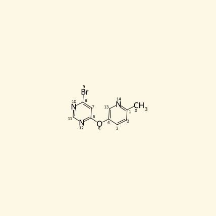 Cc1ccc(Oc2cc(Br)ncn2)cn1